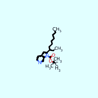 CCCCCCCC(CC)c1cc2ccncc2n1C(=O)OC(C)(C)C